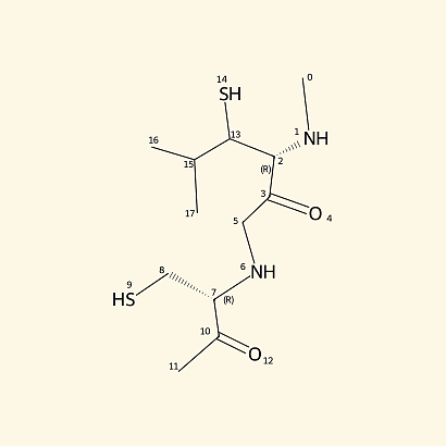 CN[C@H](C(=O)CN[C@@H](CS)C(C)=O)C(S)C(C)C